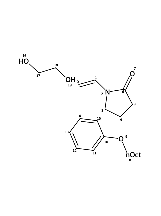 C=CN1CCCC1=O.CCCCCCCCOc1ccccc1.OCCO